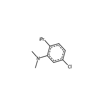 CC(C)c1ccc(Cl)cc1N(C)C